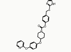 O=C(Oc1ccc(CSc2ncc[nH]2)cc1)N1CCC(Oc2ccc(Oc3ccccn3)cc2)CC1